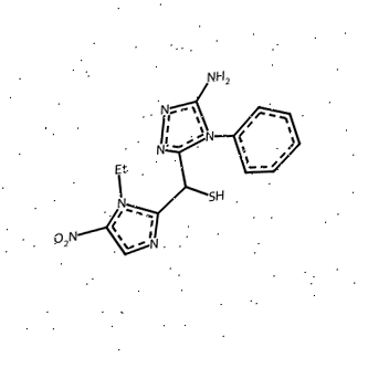 CCn1c([N+](=O)[O-])cnc1C(S)c1nnc(N)n1-c1ccccc1